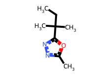 CCC(C)(C)c1nnc(C)o1